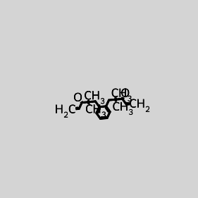 C=CC(=O)C(C)(C)Cc1ccccc1CC(C)(C)C(=O)C=C